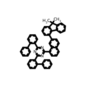 CC1(C)c2ccccc2-c2c(-c3ccc4cccc(-c5nc(-c6ccccc6-c6ccccc6)nc(-c6ccccc6-c6ccccc6)n5)c4c3)cccc21